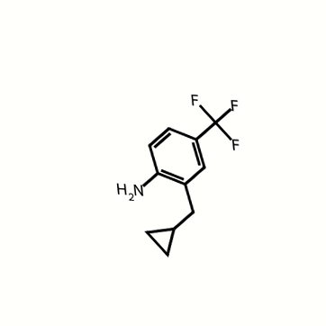 Nc1ccc(C(F)(F)F)cc1CC1CC1